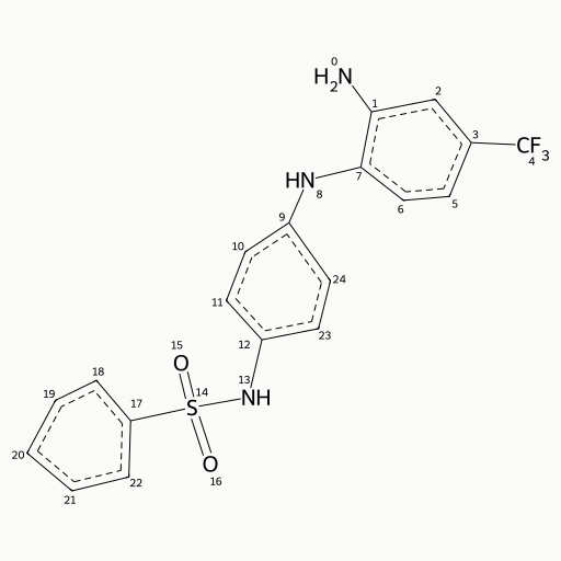 Nc1cc(C(F)(F)F)ccc1Nc1ccc(NS(=O)(=O)c2ccccc2)cc1